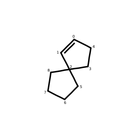 C1=CC2(CC1)CCCC2